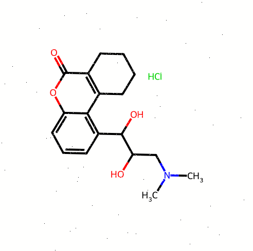 CN(C)CC(O)C(O)c1cccc2oc(=O)c3c(c12)CCCC3.Cl